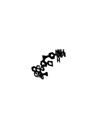 Clc1cc(OCc2c(-c3c(Cl)cccc3Cl)noc2C2CC2)ccc1C1CC1c1ccc(C2=NNNN2)cc1